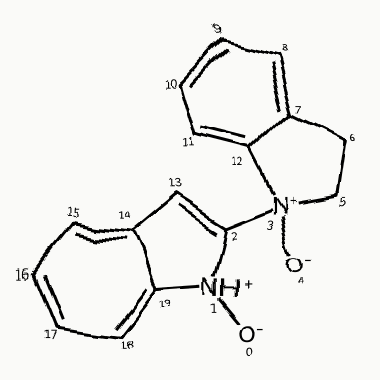 [O-][NH+]1C([N+]2([O-])CCc3ccccc32)=Cc2ccccc21